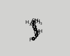 CC(C)(C)OC(=O)N1CCc2ccc(NS(=O)(=O)c3ccc(Cc4ccc(F)cc4)cc3)cc2CC1